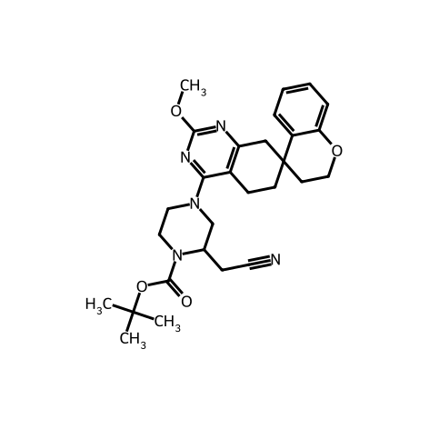 COc1nc2c(c(N3CCN(C(=O)OC(C)(C)C)C(CC#N)C3)n1)CCC1(CCOc3ccccc31)C2